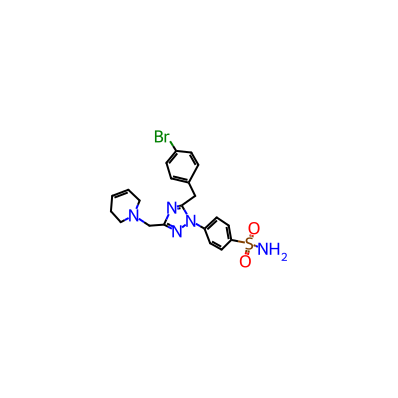 NS(=O)(=O)c1ccc(-n2nc(CN3CC=CCC3)nc2Cc2ccc(Br)cc2)cc1